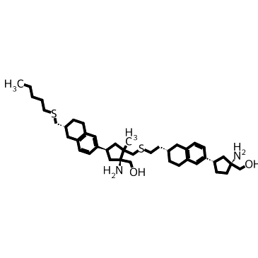 CCCCCSC[C@@H]1CCc2cc([C@H]3CC(C)(CSCC[C@H]4CCc5cc([C@H]6CC[C@](N)(CO)C6)ccc5C4)[C@](N)(CO)C3)ccc2C1